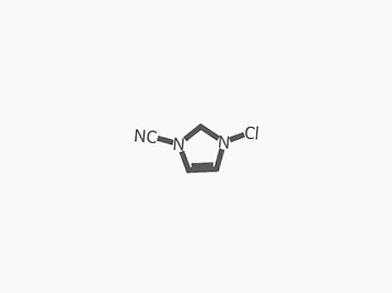 N#CN1C=CN(Cl)C1